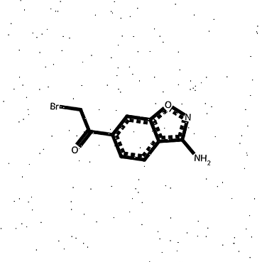 Nc1noc2cc(C(=O)CBr)ccc12